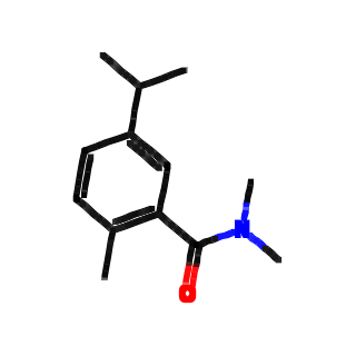 Cc1ccc(C(C)C)cc1C(=O)N(C)C